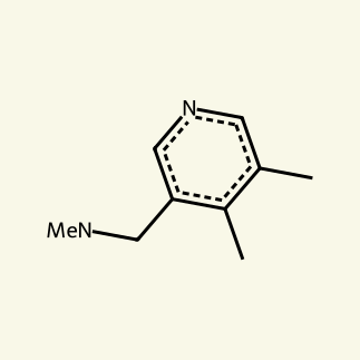 CNCc1cncc(C)c1C